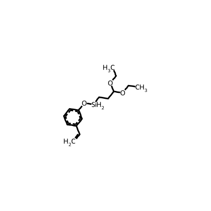 C=Cc1cccc(O[SiH2]CCC(OCC)OCC)c1